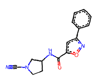 N#CN1CCC(NC(=O)c2cc(-c3ccccc3)no2)C1